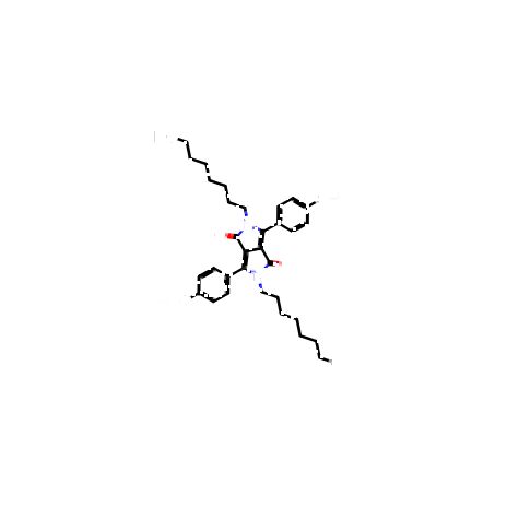 CCCCCCCCN1C(=O)C2=C(c3ccc(C)cc3)N(CCCCCCCC)C(=O)C2=C1c1ccc(C)cc1